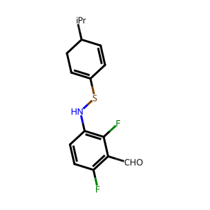 CC(C)C1C=CC(SNc2ccc(F)c(C=O)c2F)=CC1